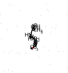 CC(C)(C)OC(=O)N1CC(CCCCNc2cccc(SNC(=O)c3ccc(-n4ccc(OCCC5(C(F)(F)F)CC5)n4)nc3Cl)n2)CC1(C)C